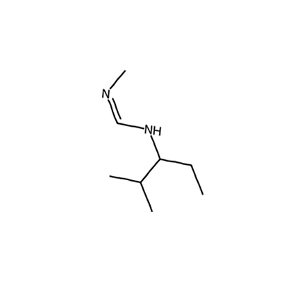 CCC(N/C=N\C)C(C)C